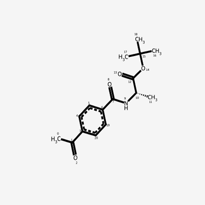 CC(=O)c1ccc(C(=O)N[C@@H](C)C(=O)OC(C)(C)C)cc1